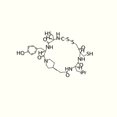 CC(C)C[C@@H]1NC(=O)CC2(C)CCN(CC2)C(=O)[C@H](Cc2ccc(O)cc2)NC(=O)[C@H](CS)NCSSCC(=O)[C@H](CS)NC1=O